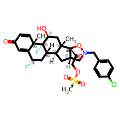 C[C@]12C=CC(=O)C=C1[C@@H](F)C[C@H]1[C@@H]3C[C@H]4CN(Cc5ccc(Cl)cc5)O[C@@]4(C(=O)COS(C)(=O)=O)[C@@]3(C)C[C@H](O)[C@@]12F